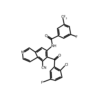 N#Cc1c(C(=O)c2cc(F)ccc2Cl)c(NC(=O)c2cc(F)cc(C(F)(F)F)c2)cc2cnccc12